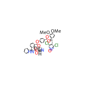 COc1ccc([C@H](Cc2c(Cl)c[n+]([O-])cc2Cl)OC(=O)c2ccc(OC(=O)c3cccc([C@@H](NC(=O)O[C@H]4CN5CCC4CC5)c4ccccc4)c3C)cc2)cc1OC